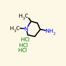 CC1CC(N)CCN1C.Cl.Cl.Cl